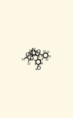 COc1ccc(-c2c(-c3ccccc3)oc3ncnc(OC(C)C(C)O)c23)cc1